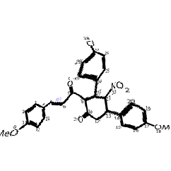 COc1ccc(/C=C/C(=O)C2C(=O)CC(c3ccc(OC)cc3)C([N+](=O)[O-])C2c2ccc(Cl)cc2)cc1